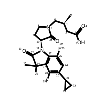 C[C@@H](CC(=O)O)CN1CC[C@H](N2C(=O)C(C)(C)c3c(F)c(C4CC4)cc(F)c32)C1=O